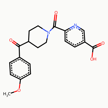 COc1ccc(C(=O)C2CCN(C(=O)c3ccc(C(=O)O)cn3)CC2)cc1